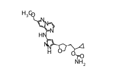 COCc1cc2c(Nc3cc([C@H]4C[C@@H](CC(OC(N)=O)C5CC5)CO4)[nH]n3)nccn2n1